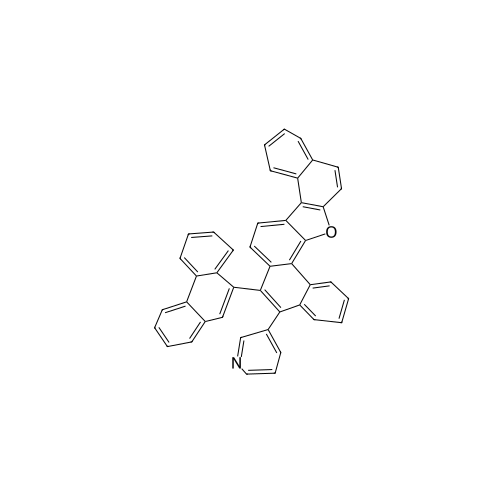 c1cncc(-c2c(-c3cc4ccccc4c4ccccc34)c3ccc4c(oc5ccc6ccccc6c54)c3c3ccccc23)c1